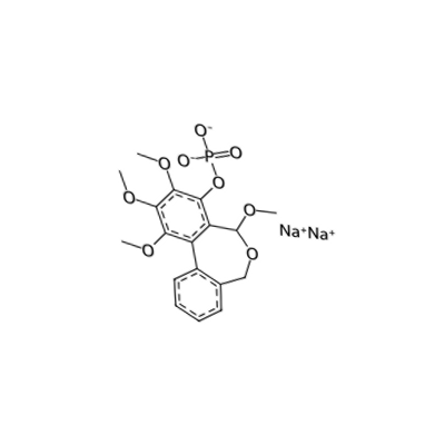 COc1c(OC)c(OP(=O)([O-])[O-])c2c(c1OC)-c1ccccc1COC2OC.[Na+].[Na+]